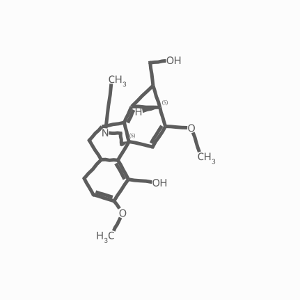 COC1=CCC2CC3C4=C5C(CO)[C@@H]5C(OC)=C[C@]4(CCN3C)C2=C1O